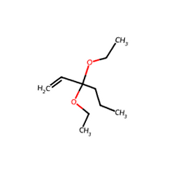 C=CC(CCC)(OCC)OCC